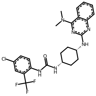 CN(C)c1nc(N[C@H]2CC[C@@H](NC(=O)Nc3ccc(Cl)cc3C(F)(F)F)CC2)nc2ccccc12